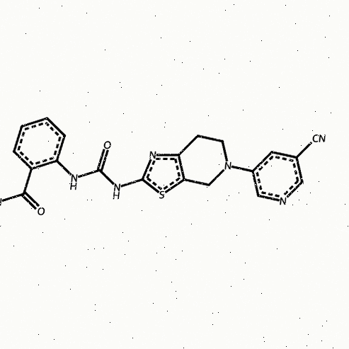 CC(C)NC(=O)c1ccccc1NC(=O)Nc1nc2c(s1)CN(c1cncc(C#N)c1)CC2